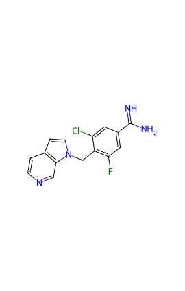 N=C(N)c1cc(F)c(Cn2ccc3ccncc32)c(Cl)c1